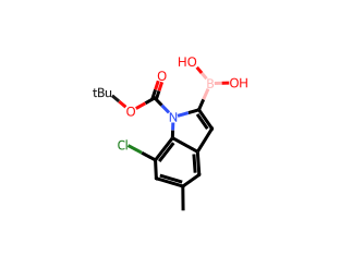 Cc1cc(Cl)c2c(c1)cc(B(O)O)n2C(=O)OC(C)(C)C